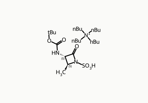 CCCC[N+](CCCC)(CCCC)CCCC.C[C@H]1[C@H](NC(=O)OC(C)(C)C)C(=O)N1S(=O)(=O)O